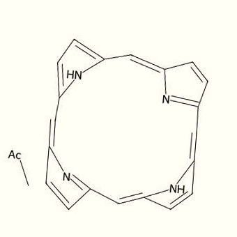 C1=Cc2cc3ccc(cc4nc(cc5ccc(cc1n2)[nH]5)C=C4)[nH]3.CC(C)=O